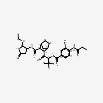 CCOC1OC(=O)CC1NC(=O)C1C2CCC(C2)N1C(=O)C(OC(=O)c1ccc(NC(=O)CC)c(Cl)c1)C(C)(C)C